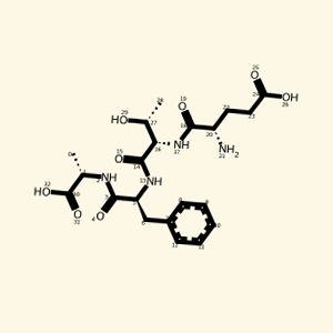 C[C@H](NC(=O)[C@H](Cc1ccccc1)NC(=O)[C@@H](NC(=O)[C@@H](N)CCC(=O)O)[C@@H](C)O)C(=O)O